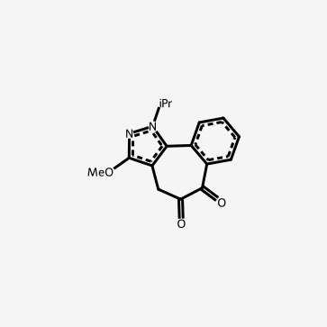 COc1nn(C(C)C)c2c1CC(=O)C(=O)c1ccccc1-2